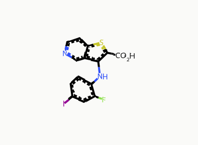 O=C(O)c1sc2ccncc2c1Nc1ccc(I)cc1F